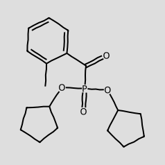 Cc1ccccc1C(=O)P(=O)(OC1CCCC1)OC1CCCC1